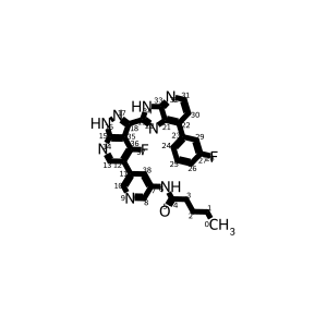 CCCCC(=O)Nc1cncc(-c2cnc3[nH]nc(-c4nc5c(-c6cccc(F)c6)ccnc5[nH]4)c3c2F)c1